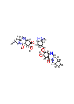 C/C=C1\CN2C(=O)c3cc(OC)c(OCc4cc(COc5cc6c(cc5OC)C(=O)N5Cc7ccccc7CC5C=N6)cc(NC)c4)cc3N=C[C@]2(C)C1